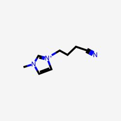 Cn1cc[n+](CCCC#N)c1